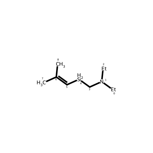 CCN(CC)C[SiH2]C=C(C)C